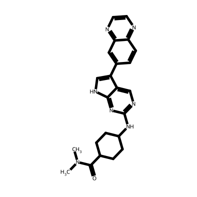 CN(C)C(=O)C1CCC(Nc2ncc3c(-c4ccc5nccnc5c4)c[nH]c3n2)CC1